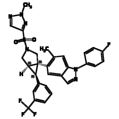 Cc1cc2c(cnn2-c2ccc(F)cc2)cc1[C@@]12CN(S(=O)(=O)c3cnn(C)n3)C[C@@H]1[C@@H]2c1cccc(C(F)(F)F)c1